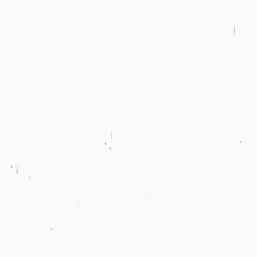 COc1cccc(C(=O)NC2CN3CCC2CC3)c1